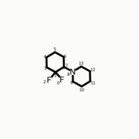 FC1(F)CCCC[C]1N1CCCCC1